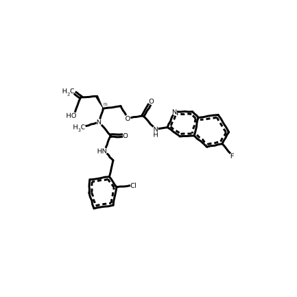 C=C(O)C[C@@H](COC(=O)Nc1cc2cc(F)ccc2cn1)N(C)C(=O)NCc1ccccc1Cl